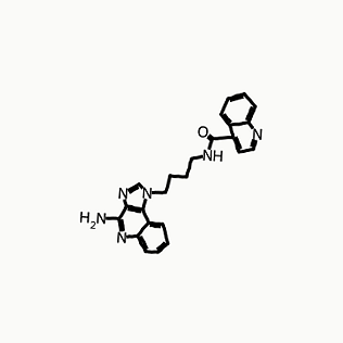 Nc1nc2ccccc2c2c1ncn2CCCCNC(=O)c1ccnc2ccccc12